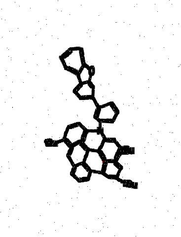 CC(C)(C)c1ccc(N(c2cccc(-c3ccc4c(c3)oc3ccccc34)c2)c2ccccc2-c2cccc3cccc(-c4cc(C(C)(C)C)cc(C(C)(C)C)c4)c23)cc1